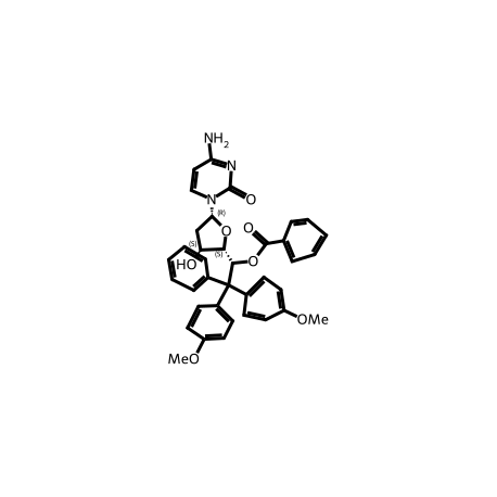 COc1ccc(C(c2ccccc2)(c2ccc(OC)cc2)C(OC(=O)c2ccccc2)[C@H]2O[C@@H](n3ccc(N)nc3=O)C[C@@H]2O)cc1